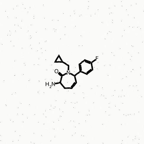 NC1CC=CC(c2ccc(F)cc2)N(CC2CC2)C1=O